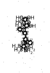 Bc1c(B)c(B)c(-n2c3ccccc3c3cc(-c4ccc5c(c4)c4ccccc4n5-c4cc(O)c5oc6c(O)cc(O)c(O)c6c5c4B)ccc32)c(B)c1B